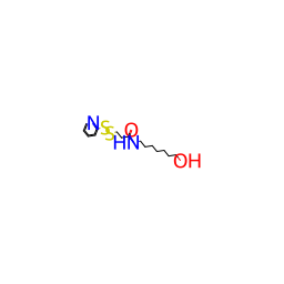 O=C(CCSSc1ccccn1)NCCCCCCCO